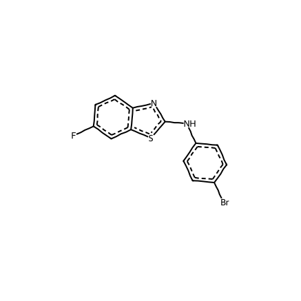 Fc1ccc2nc(Nc3ccc(Br)cc3)sc2c1